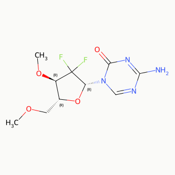 COC[C@H]1O[C@@H](n2cnc(N)nc2=O)C(F)(F)[C@@H]1OC